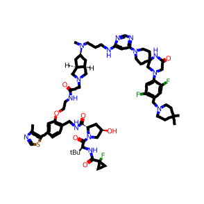 Cc1ncsc1-c1ccc(CNC(=O)[C@@H]2C[C@@H](O)CN2C(=O)[C@@H](NC(=O)C2(F)CC2)C(C)(C)C)c(OCCNC(=O)CN2C[C@H]3C[C@@H](N(C)CCCNc4cc(N5CCC6(CC5)CN(c5cc(F)c(CN7CCC(C)(C)CC7)cc5F)CC(=O)N6)ncn4)C[C@H]3C2)c1